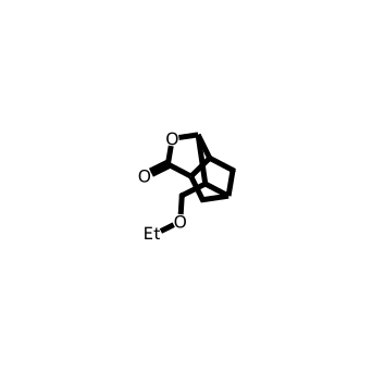 CCOCC1C2CC3C(=O)OC1C3C2